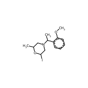 COc1ccccc1C(C)N1CC(C)OC(I)C1